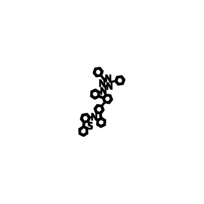 c1ccc(-c2nc(-c3ccccc3)nc(-n3c4ccccc4c4c(-c5ccc6c(c5)c5ccccc5n6-c5cccc6c5sc5ccccc56)cccc43)n2)cc1